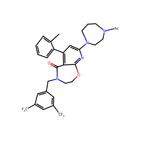 CC(=O)N1CCCN(c2cc(-c3ccccc3C)c3c(n2)OCCN(Cc2cc(C(F)(F)F)cc(C(F)(F)F)c2)C3=O)CC1